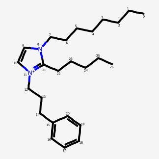 CCCCCCCCn1cc[n+](CCCc2ccccc2)c1CCCCC